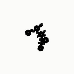 COC(=O)C1(OCc2ccccc2)C=CC=CC1Oc1c(F)c(F)nc(Oc2cc(C#N)ccc2OCc2ccccc2)c1F